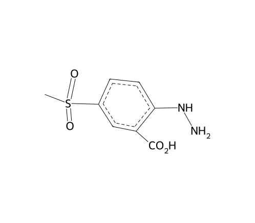 CS(=O)(=O)c1ccc(NN)c(C(=O)O)c1